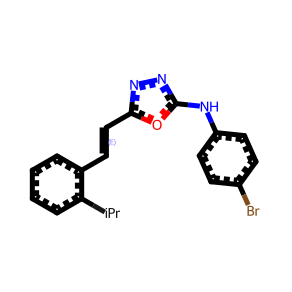 CC(C)c1ccccc1/C=C/c1nnc(Nc2ccc(Br)cc2)o1